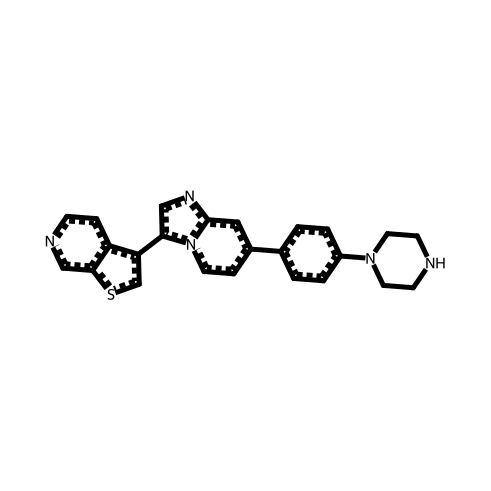 c1cc2c(-c3cnc4cc(-c5ccc(N6CCNCC6)cc5)ccn34)csc2cn1